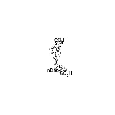 CCCCCCCCCCCC(C#CCC1C=Cc2c(OC(=O)SC(=O)O)cccc21)OC(=O)SC(=O)O